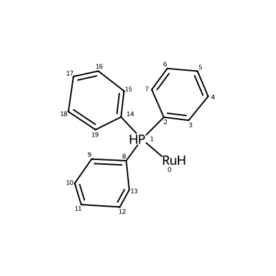 [RuH][PH](c1ccccc1)(c1ccccc1)c1ccccc1